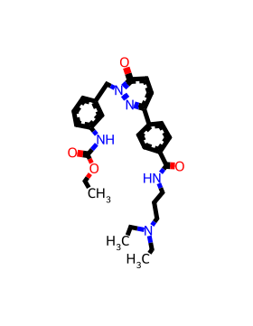 CCOC(=O)Nc1cccc(Cn2nc(-c3ccc(C(=O)NCCCN(CC)CC)cc3)ccc2=O)c1